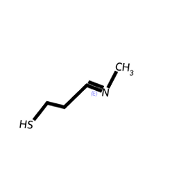 C/N=C/CCS